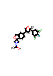 CC(C)C(=O)N1CC2(C1)OCc1cc(C3=COC(c4cc(Cl)c(F)c(Cl)c4)(C(F)(F)F)C3)ccc12